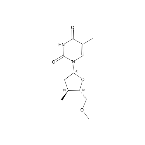 COC[C@H]1O[C@@H](n2cc(C)c(=O)[nH]c2=O)C[C@@H]1C